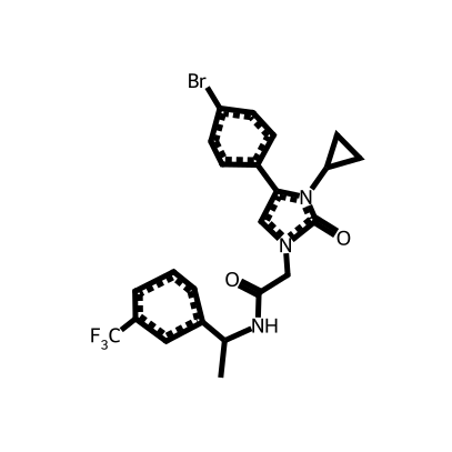 CC(NC(=O)Cn1cc(-c2ccc(Br)cc2)n(C2CC2)c1=O)c1cccc(C(F)(F)F)c1